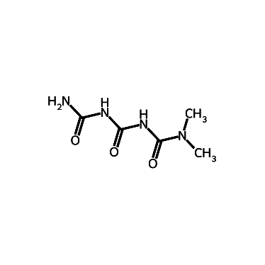 CN(C)C(=O)NC(=O)NC(N)=O